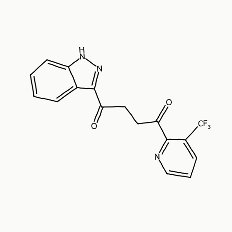 O=C(CCC(=O)c1n[nH]c2ccccc12)c1ncccc1C(F)(F)F